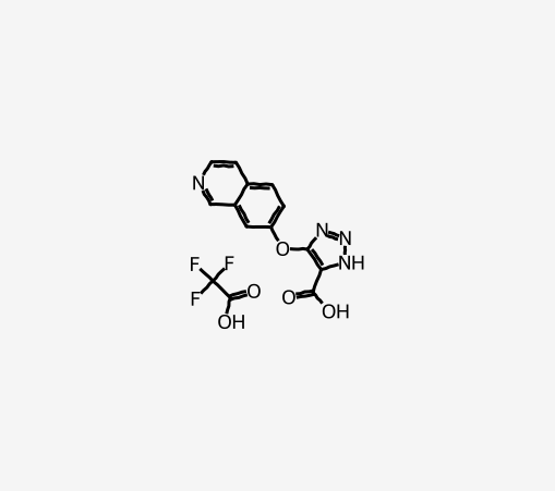 O=C(O)C(F)(F)F.O=C(O)c1[nH]nnc1Oc1ccc2ccncc2c1